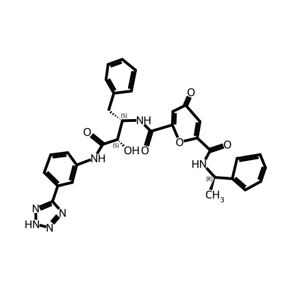 C[C@@H](NC(=O)c1cc(=O)cc(C(=O)N[C@@H](Cc2ccccc2)[C@H](O)C(=O)Nc2cccc(-c3nn[nH]n3)c2)o1)c1ccccc1